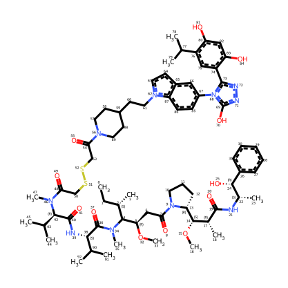 CC[C@H](C)C([C@@H](CC(=O)N1CCC[C@@H]1[C@@H](OC)[C@@H](C)C(=O)N[C@@H](C)[C@H](O)c1ccccc1)OC)N(C)C(=O)[C@@H](NC(=O)[C@@H](C(C)C)N(C)C(=O)CSSCC(=O)N1CCC(CCn2ccc3cc(-n4c(O)nnc4-c4cc(C(C)C)c(O)cc4O)ccc32)CC1)C(C)C